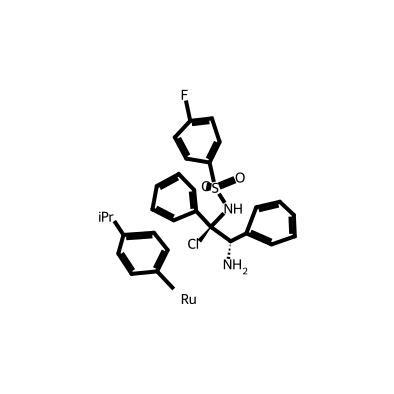 Cc1ccc(C(C)C)cc1.N[C@@H](c1ccccc1)[C@@](Cl)(NS(=O)(=O)c1ccc(F)cc1)c1ccccc1.[Ru]